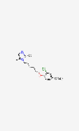 CCc1ncc(C)n1CCCCCCOc1ccc(OC)cc1Cl